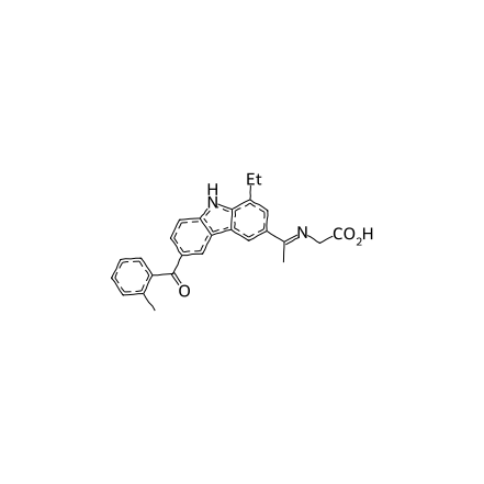 CCc1cc(C(C)=NCC(=O)O)cc2c1[nH]c1ccc(C(=O)c3ccccc3C)cc12